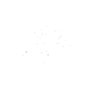 [CH2]CCCN(C)C(=O)CO[C@H]1Cc2ccccc2C12CCN(CC[C@@]1(c3ccc(Cl)c(Cl)c3)CN(C(=O)c3cc(C(F)(F)F)cc(C(F)(F)F)c3)CCO1)CC2